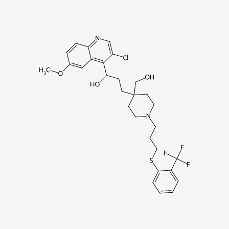 COc1ccc2ncc(Cl)c([C@@H](O)CCC3(CO)CCN(CCCSc4ccccc4C(F)(F)F)CC3)c2c1